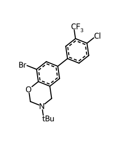 CC(C)(C)N1COc2c(Br)cc(-c3ccc(Cl)c(C(F)(F)F)c3)cc2C1